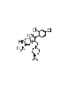 CC(=O)N1CCN(CC2=C(c3ccc(Cl)cc3Cl)NC3CNC(N)=CN23)CC1